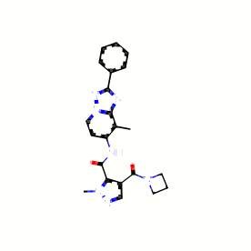 Cc1c(NC(=O)c2c(C(=O)N3CCC3)cnn2C)ccn2nc(-c3ccccc3)nc12